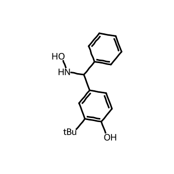 CC(C)(C)c1cc(C(NO)c2ccccc2)ccc1O